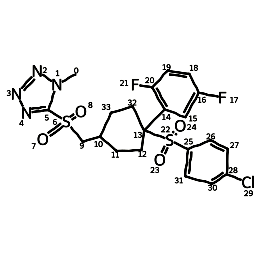 Cn1nnnc1S(=O)(=O)CC1CCC(c2cc(F)ccc2F)(S(=O)(=O)c2ccc(Cl)cc2)CC1